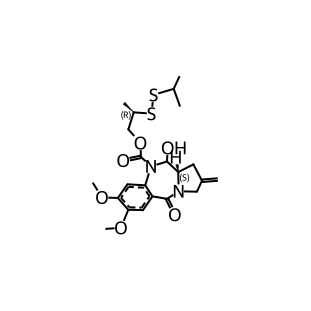 C=C1C[C@H]2C(O)N(C(=O)OC[C@@H](C)SSC(C)C)c3cc(OC)c(OC)cc3C(=O)N2C1